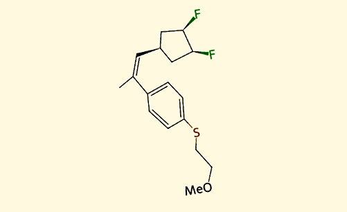 COCCSc1ccc(/C(C)=C\[C@H]2C[C@@H](F)[C@@H](F)C2)cc1